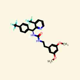 COc1cc(CCNC(=O)N[C@@H](c2ccc(C(F)(F)F)cc2)c2ncccc2C(F)(F)F)cc(OC)c1